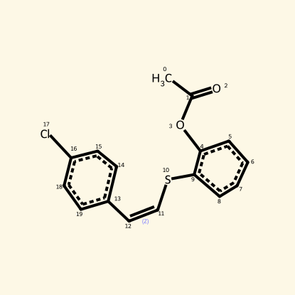 CC(=O)Oc1ccccc1S/C=C\c1ccc(Cl)cc1